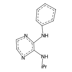 CC(C)Nc1nccnc1Nc1ccccc1